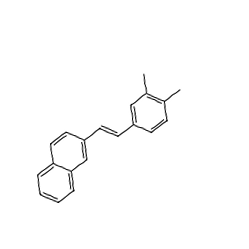 Cc1ccc(C=Cc2ccc3ccccc3c2)cc1C